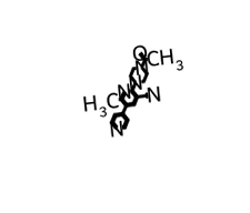 CC(=O)N1CCN(c2nc(C)c(-c3ccncc3)cc2C#N)CC1